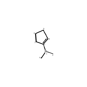 CN(C)C1=[C]CC[CH]1